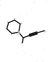 [CH2]C#CC(C)N1CCCCC1